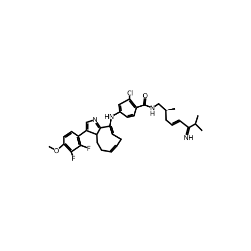 COc1ccc(C2=CN=C3/C(Nc4ccc(C(=O)NC[C@@H](C)C/C=C/C(=N)C(C)C)c(Cl)c4)=C/C/C=C\CCC23)c(F)c1F